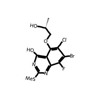 CSc1nc(O)c2c(OC[C@@H](C)O)c(Cl)c(Br)c(F)c2n1